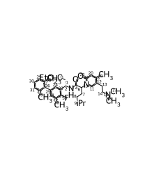 CCOC(=O)C[C@H](NC(=O)C(CCC(C)C)n1cc(CCN(C)C)c(C)cc1=O)c1cc(-c2c(C)cccc2C)cc(C)c1F